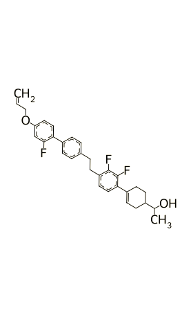 C=CCOc1ccc(-c2ccc(CCc3ccc(C4=CCC(C(C)O)CC4)c(F)c3F)cc2)c(F)c1